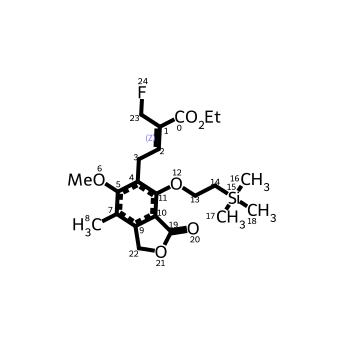 CCOC(=O)/C(=C/Cc1c(OC)c(C)c2c(c1OCC[Si](C)(C)C)C(=O)OC2)CF